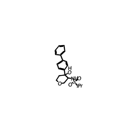 CC(C)S(=O)(=O)NC1COCCC1(O)c1ccc(-c2ccccc2)cc1